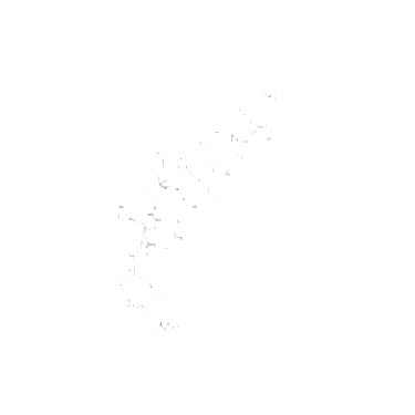 COc1ccc(Cn2ccc3cc(S(=O)(=O)C4CCN(C(=O)OC(C)(C)C)CC4)c(Cl)cc3c2=O)cc1